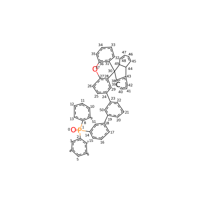 O=P(c1ccccc1)(c1ccccc1)c1cccc(-c2cccc(-c3ccc4c(c3)C3(c5ccccc5O4)c4ccccc4C4C=CC=CC43)c2)c1